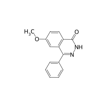 COc1ccc2c(=O)[nH]nc(-c3ccccc3)c2c1